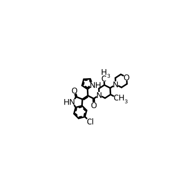 CC1CN(C(=O)C(=C2C(=O)Nc3ccc(Cl)cc32)c2ccc[nH]2)CC(C)C1N1CCOCC1